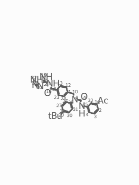 CC(=O)c1cccc(NC(=O)N(Cc2ccc(C(=O)NC(=N)/N=N\N)cc2)c2ccc(C(C)(C)C)cc2)c1